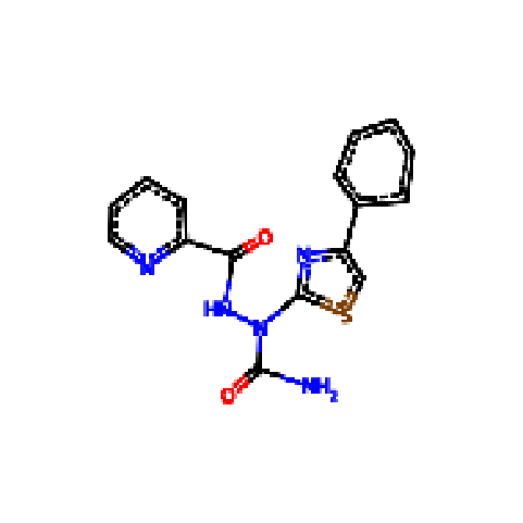 NC(=O)N(NC(=O)c1ccccn1)c1nc(-c2ccccc2)cs1